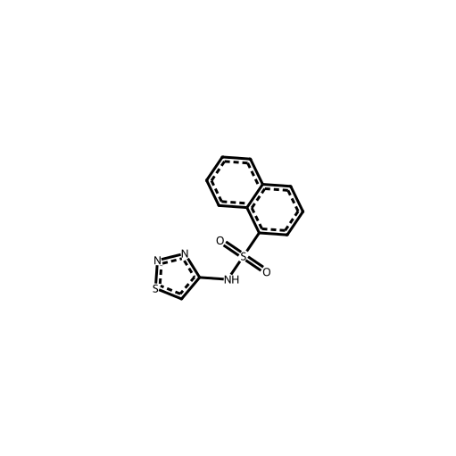 O=S(=O)(Nc1csnn1)c1cccc2ccccc12